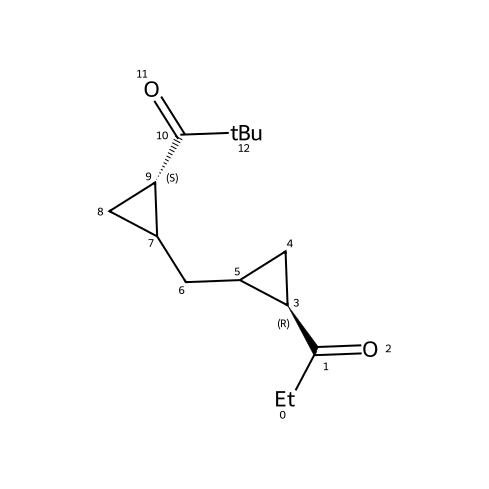 CCC(=O)[C@@H]1CC1CC1C[C@@H]1C(=O)C(C)(C)C